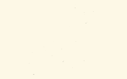 C=C(O)C(=O)Oc1cccc2c1Cc1ccccc1-2